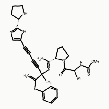 C=C(Sc1ccccc1)C(C)(C#CC#Cc1cnc([C@@H]2CCCN2)[nH]1)/N=C(\N)[C@@H]1CCCN1C(=O)[C@@H](NC(=O)OC)C(C)C